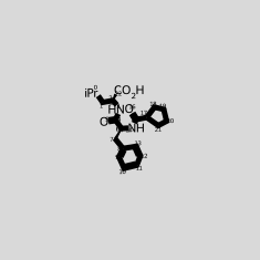 CC(C)C[C@H](NC(=O)[C@H](Cc1ccccc1)NC(=O)C1CCCC1)C(=O)O